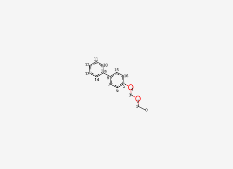 CCOCOc1ccc(-c2ccccc2)cc1